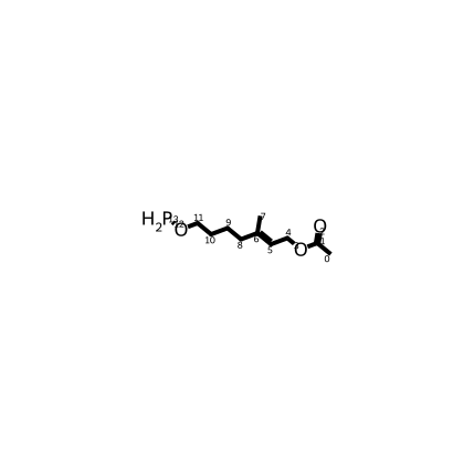 CC(=O)OC/C=C(\C)CCCCOP